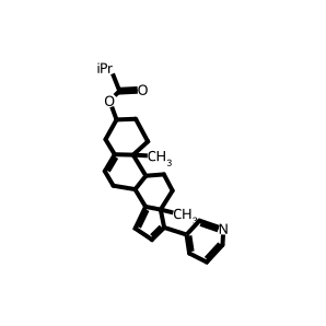 CC(C)C(=O)OC1CCC2(C)C(=CCC3C4=CC=C(c5cccnc5)C4(C)CCC32)C1